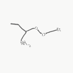 CCOOC(C)N